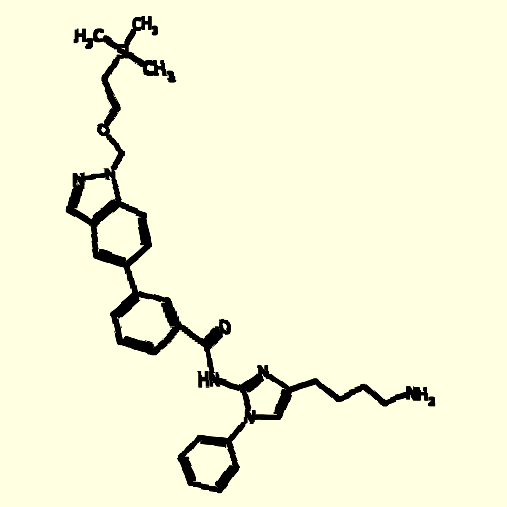 C[Si](C)(C)CCOCn1ncc2cc(-c3cccc(C(=O)Nc4nc(CCCCN)cn4-c4ccccc4)c3)ccc21